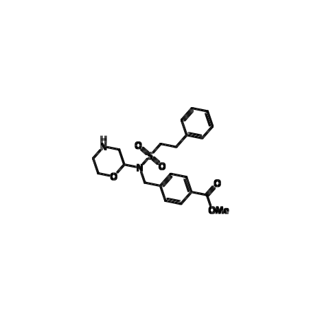 COC(=O)c1ccc(CN(C2CNCCO2)S(=O)(=O)CCc2ccccc2)cc1